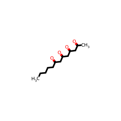 CCCCCC(=O)CC(=O)CC(=O)CC(C)=O